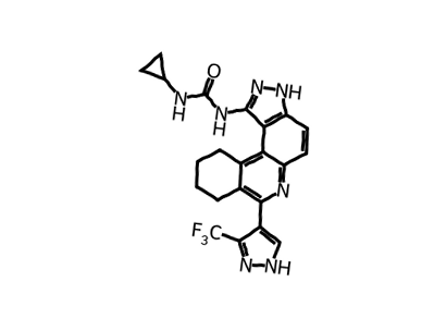 O=C(Nc1n[nH]c2ccc3nc(-c4c[nH]nc4C(F)(F)F)c4c(c3c12)CCCC4)NC1CC1